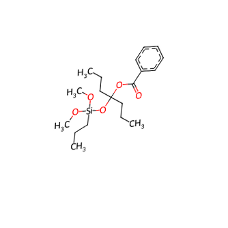 CCCC(CCC)(OC(=O)c1ccccc1)O[Si](CCC)(OC)OC